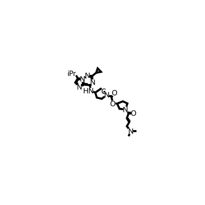 CC(C)c1cnc2c(NC3CCN(C(=O)OC4CCN(C(=O)/C=C/CN(C)C)C4)CC3)nc(C3CC3)nn12